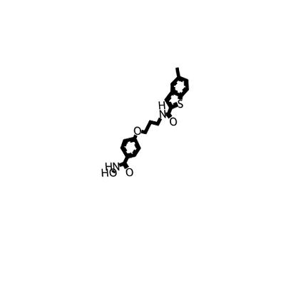 Cc1ccc2sc(C(=O)NCCCOc3ccc(C(=O)NO)cc3)cc2c1